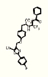 CCc1oc(-c2ccc(F)cc2)nc1COc1ccc(C[C@H](NC(=CC(=O)c2ccccc2)C(F)(F)F)C(=O)O)cc1